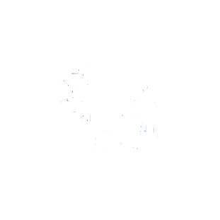 Cn1cnc(S(=O)(=O)CNCc2ccc3c(c2)C(Cc2cccc(F)c2)C(N)CC3)c1